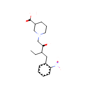 CCC(Cc1ccccc1[N+](=O)[O-])C(=O)CN1CCCC(C(=O)O)C1